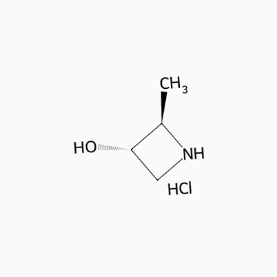 C[C@H]1NC[C@@H]1O.Cl